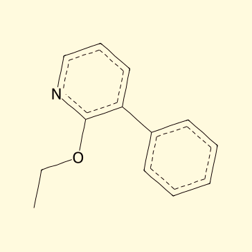 CCOc1ncccc1-c1ccccc1